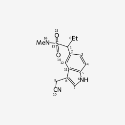 CCC(c1ccc2[nH]cc(CC#N)c2c1)S(=O)(=O)NC